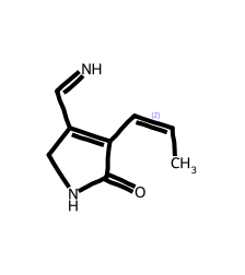 C/C=C\C1=C(C=N)CNC1=O